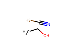 CCO.N#CS